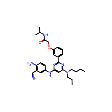 CCCCN(CCC)c1cc(Nc2ccc(N)c(C=N)c2)nc(-c2cccc(OCC(=O)NC(C)C)c2)n1